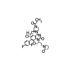 C=CC(=O)N1CCN(c2nc(=O)n3c4c(c(-c5ccc(F)cc5F)c(Cl)cc24)OCC3CCN2CCCC2=O)[C@@H](C)C1